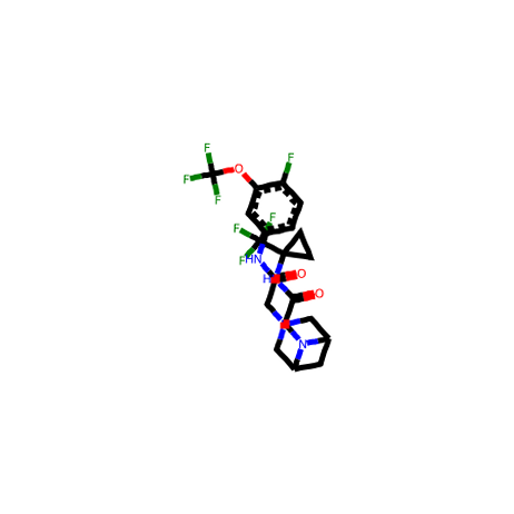 O=C(CN1CC2CC(C1)N2CC(=O)NC1(C(F)(F)F)CC1)Nc1ccc(F)c(OC(F)(F)F)c1